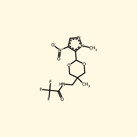 Cn1ncc([N+](=O)[O-])c1C1OCC(C)(CNC(=O)C(F)(F)F)CO1